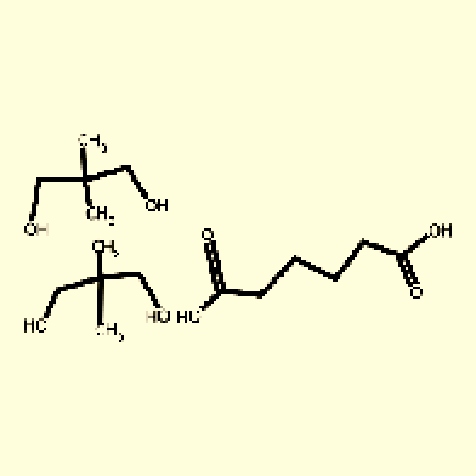 CC(C)(CO)CO.CC(C)(CO)CO.O=C(O)CCCCC(=O)O